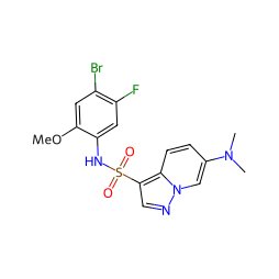 COc1cc(Br)c(F)cc1NS(=O)(=O)c1cnn2cc(N(C)C)ccc12